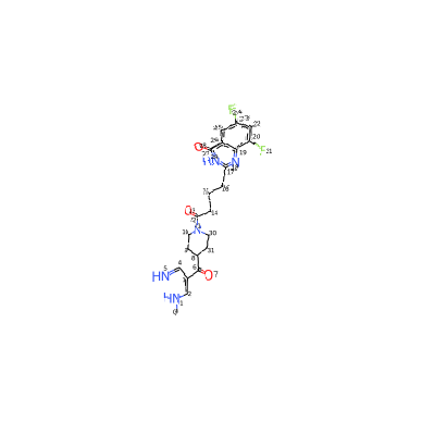 CN/C=C(\C=N)C(=O)C1CCN(C(=O)CCCc2nc3c(F)cc(F)cc3c(=O)[nH]2)CC1